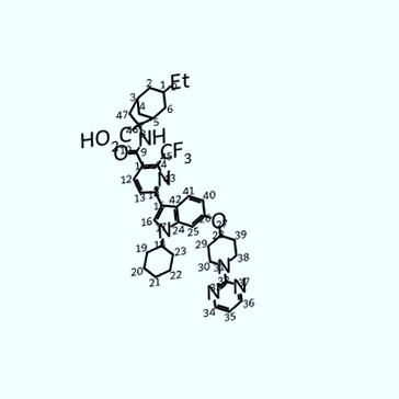 CCC1CC2CC(C1)C(NC(=O)c1ccc(-c3cn(C4CCCCC4)c4cc(OC5CCN(c6ncccn6)CC5)ccc34)nc1C(F)(F)F)(C(=O)O)C2